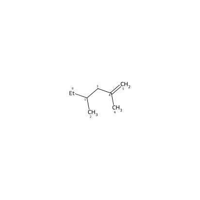 [CH2]CC(C)CC(=C)C